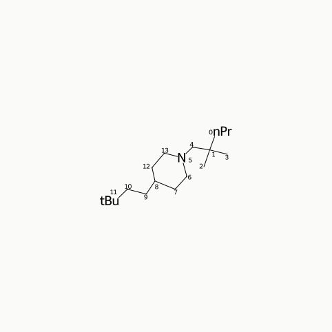 CCCC(C)(C)CN1CCC(CCC(C)(C)C)CC1